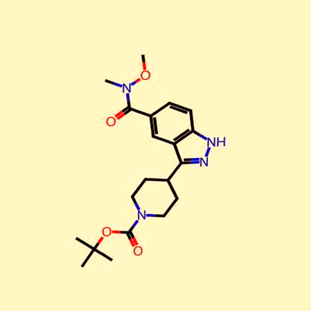 CON(C)C(=O)c1ccc2[nH]nc(C3CCN(C(=O)OC(C)(C)C)CC3)c2c1